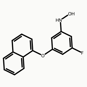 ONc1cc(F)cc(Oc2cccc3ccccc23)c1